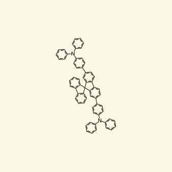 c1ccc(N(c2ccccc2)c2ccc(-c3ccc4c(c3)C3(c5ccccc5-c5ccccc53)c3cc(-c5ccc(N(c6ccccc6)c6ccccc6)cc5)ccc3-4)cc2)cc1